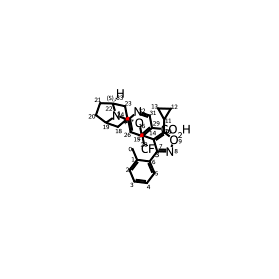 Cc1ccccc1-c1noc(C2CC2)c1CO[C@@H]1CC2CC[C@@H](C1)N2c1cc(C(F)(F)F)c(C(=O)O)cn1